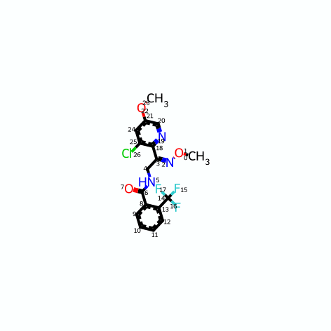 CON=C(CNC(=O)c1ccccc1C(F)(F)F)c1ncc(OC)cc1Cl